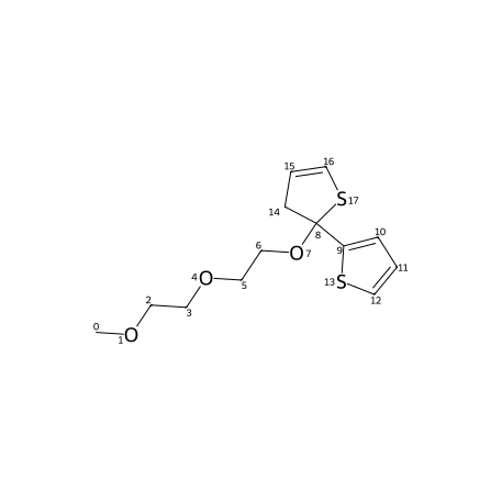 COCCOCCOC1(c2cccs2)CC=CS1